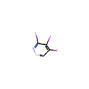 Ic1cbnc(I)c1I